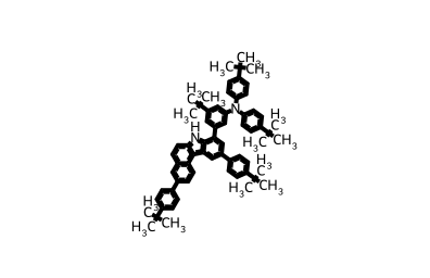 CC(C)(C)c1ccc(-c2ccc3c(ccc4[nH]c5c(-c6cc(N(c7ccc(C(C)(C)C)cc7)c7ccc(C(C)(C)C)cc7)cc(C(C)(C)C)c6)cc(-c6ccc(C(C)(C)C)cc6)cc5c43)c2)cc1